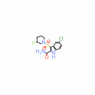 NC(=O)c1[nH]c2ccc(Cl)cc2c1S(=O)(=O)N1CCCC(F)C1